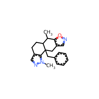 CC1c2oncc2CC2(Cc3ccccc3)c3c(cnn3C)CCC12